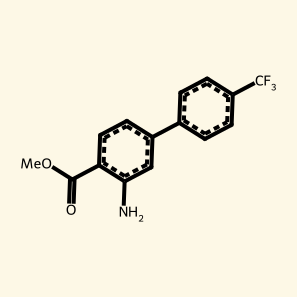 COC(=O)c1ccc(-c2ccc(C(F)(F)F)cc2)cc1N